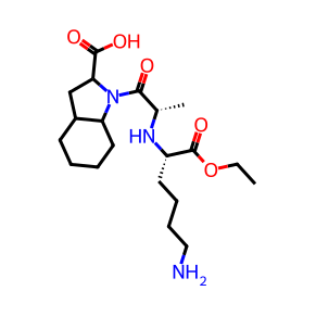 CCOC(=O)[C@H](CCCCN)N[C@@H](C)C(=O)N1C(C(=O)O)CC2CCCCC21